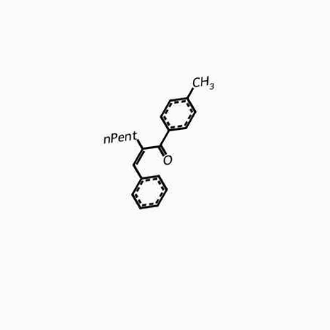 CCCCCC(=Cc1ccccc1)C(=O)c1ccc(C)cc1